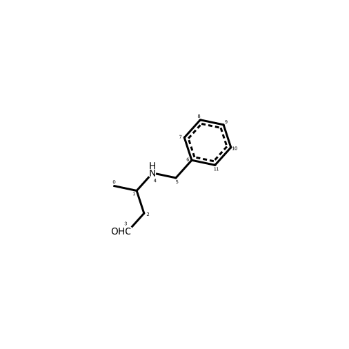 CC(CC=O)NCc1ccccc1